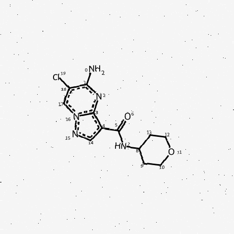 Nc1nc2c(C(=O)NC3CCOCC3)cnn2cc1Cl